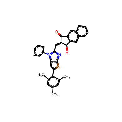 Cc1cc(C)c(-c2cc3c(nc(C=C4C(=O)c5cc6ccccc6cc5C4=O)n3-c3ccccc3)s2)c(C)c1